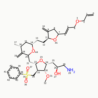 C=CCOC/C=C/C1CC(=C)[C@H](CC[C@H]2C[C@@H](C)C(=C)C(C[C@@H]3O[C@H](C[C@H](O)CN)[C@H](OC)[C@H]3CS(=O)(=O)c3ccccc3)O2)O1